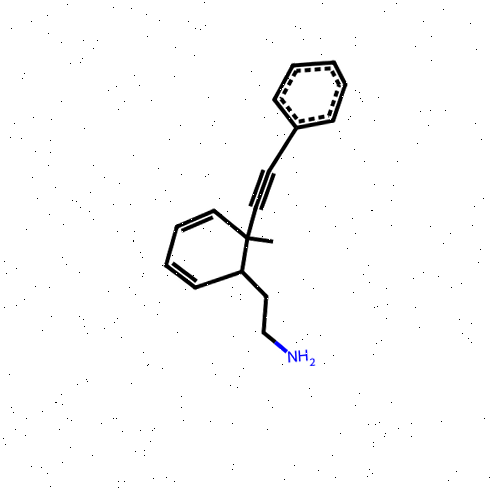 CC1(C#Cc2ccccc2)C=CC=CC1CCN